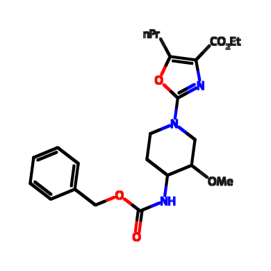 CCCc1oc(N2CCC(NC(=O)OCc3ccccc3)C(OC)C2)nc1C(=O)OCC